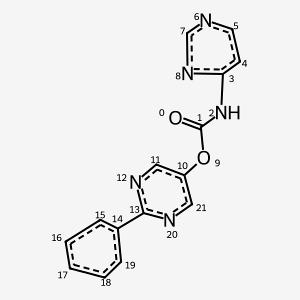 O=C(Nc1ccncn1)Oc1cnc(-c2ccccc2)nc1